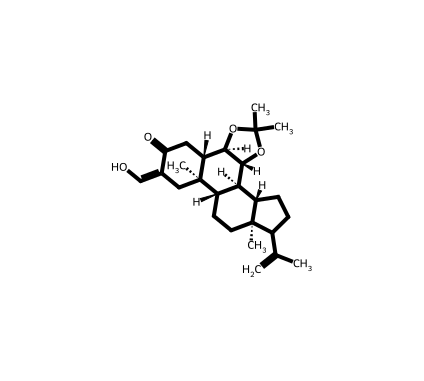 C=C(C)C1CC[C@H]2[C@@H]3[C@H]4OC(C)(C)O[C@@H]4[C@H]4CC(=O)C(=CO)C[C@]4(C)[C@H]3CC[C@]12C